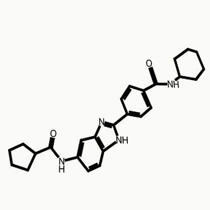 O=C(NC1CCCCC1)c1ccc(-c2nc3cc(NC(=O)C4CCCC4)ccc3[nH]2)cc1